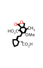 COc1c(C)c2c(c(C(=O)O)c1CC=C1CCCC[C@H]1CC(=O)O)C(=O)OC2